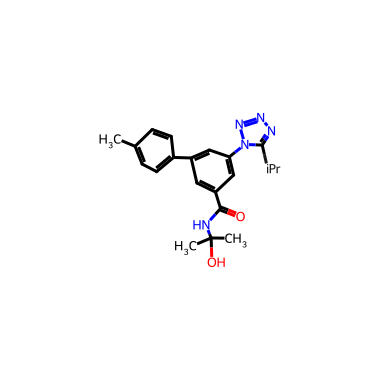 Cc1ccc(-c2cc(C(=O)NC(C)(C)O)cc(-n3nnnc3C(C)C)c2)cc1